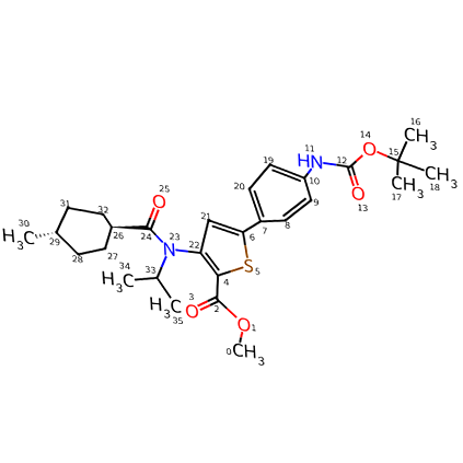 COC(=O)c1sc(-c2ccc(NC(=O)OC(C)(C)C)cc2)cc1N(C(=O)[C@H]1CC[C@H](C)CC1)C(C)C